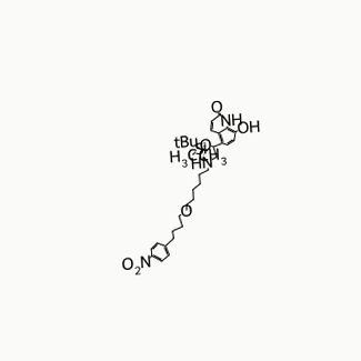 CC(C)(C)[Si](C)(C)OC(CNCCCCCCOCCCCc1ccc([N+](=O)[O-])cc1)c1ccc(O)c2[nH]c(=O)ccc12